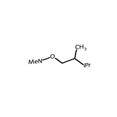 [CH2]NOCC(C)C(C)C